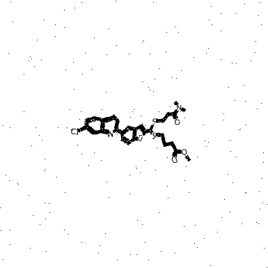 COC(=O)CCCSC(SCCC(=O)N(C)C)c1cc2cc(-c3ccc4ccc(Cl)cc4n3)ccc2o1